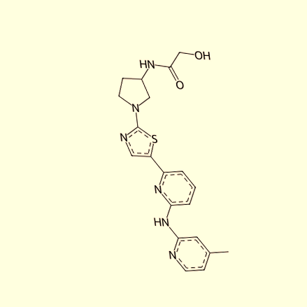 Cc1ccnc(Nc2cccc(-c3cnc(N4CCC(NC(=O)CO)C4)s3)n2)c1